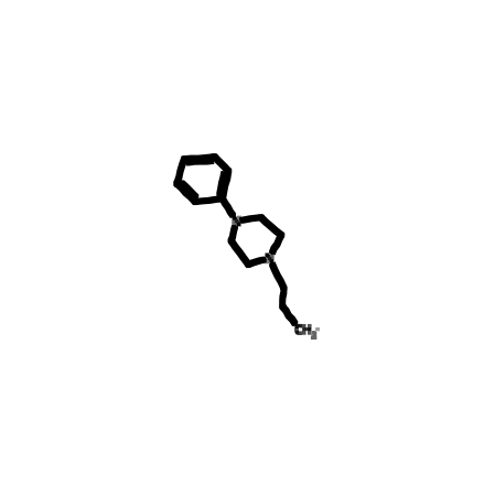 [CH2]CCN1CCN(c2ccccc2)CC1